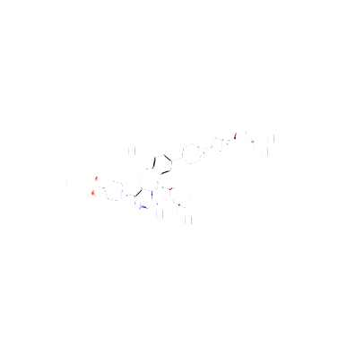 Cc1cc(C2CCN(C3CN(C(=O)OC(C)(C)C)C3)CC2)cc2c1OCc1c(N3CCC(S(C)(=O)=O)CC3)ncnc1N2C(=O)OC(C)(C)C